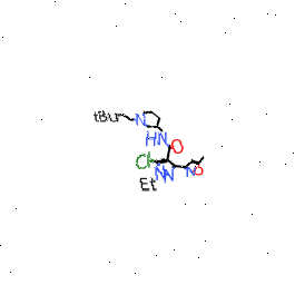 CCn1nc(-c2cc(C)on2)c(C(=O)NCC2CCCN(CCC(C)(C)C)C2)c1Cl